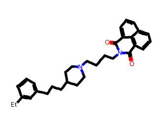 CCc1cccc(CCCC2CCN(CCCCN3C(=O)c4cccc5cccc(c45)C3=O)CC2)c1